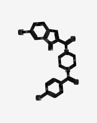 O=C(c1ccc(Cl)cc1)N1CCN(C(=O)c2cc3ccc(Cl)cc3[nH]2)CC1